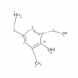 Cc1cc(CN)cc(CO)c1O